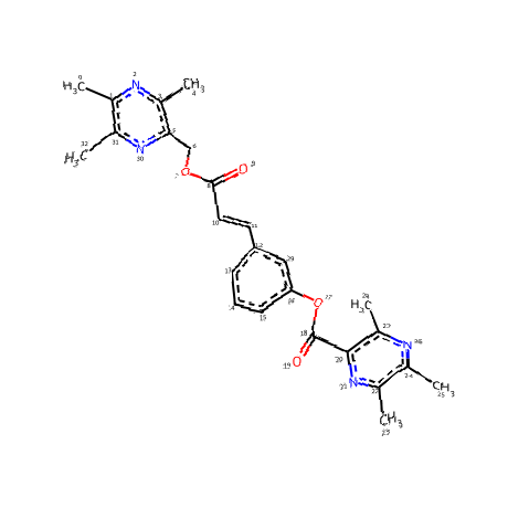 Cc1nc(C)c(COC(=O)/C=C/c2cccc(OC(=O)c3nc(C)c(C)nc3C)c2)nc1C